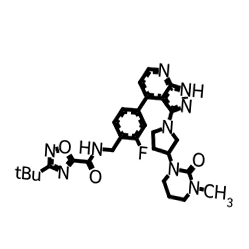 CN1CCCN(C2CCN(c3n[nH]c4nccc(-c5ccc(CNC(=O)c6nc(C(C)(C)C)no6)c(F)c5)c34)C2)C1=O